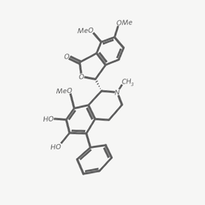 COc1ccc2c(c1OC)C(=O)OC2[C@H]1c2c(c(-c3ccccc3)c(O)c(O)c2OC)CCN1C